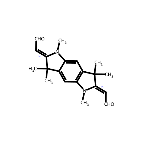 CN1/C(=C\C=O)C(C)(C)c2cc3c(cc21)C(C)(C)/C(=C/C=O)N3C